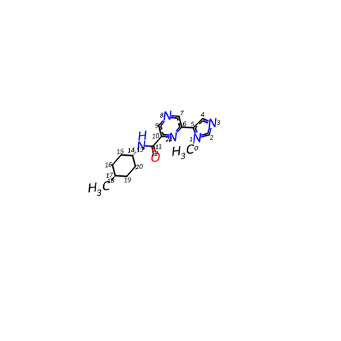 Cn1cncc1-c1cncc(C(=O)N[C@H]2CC[C@H](C)CC2)n1